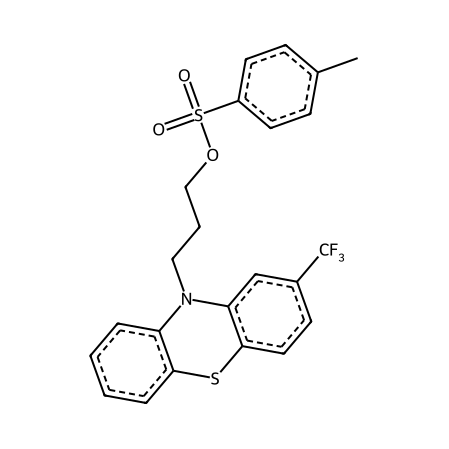 Cc1ccc(S(=O)(=O)OCCCN2c3ccccc3Sc3ccc(C(F)(F)F)cc32)cc1